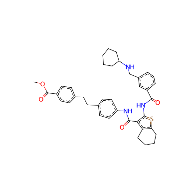 COC(=O)c1ccc(CCc2ccc(NC(=O)c3c(NC(=O)c4cccc(CNC5CCCCC5)c4)sc4c3CCCC4)cc2)cc1